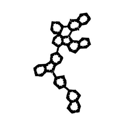 c1ccc(-c2nc3ccccc3nc2-n2c3cccc(-c4ccc5c(c4)c4ccccc4n5-c4ccc(-c5ccc6ccccc6c5)cc4)c3c3ccc4ccccc4c32)cc1